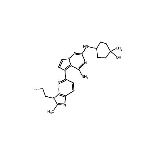 Cc1nc2ccc(-c3ccn4nc(NC5CCC(C)(O)CC5)nc(N)c34)nc2n1CCF